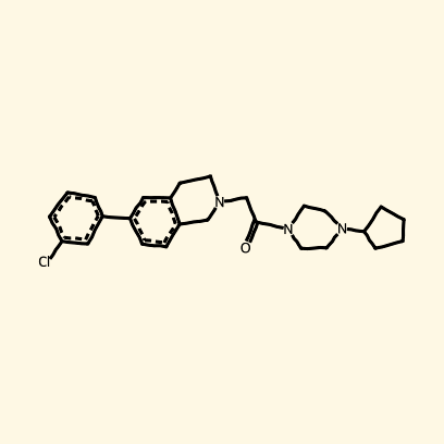 O=C(CN1CCc2cc(-c3cccc(Cl)c3)ccc2C1)N1CCN(C2CCCC2)CC1